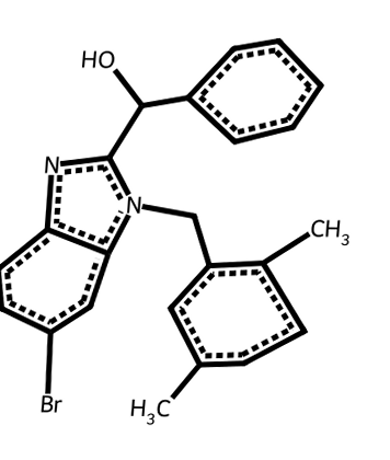 Cc1ccc(C)c(Cn2c(C(O)c3ccccc3)nc3ccc(Br)cc32)c1